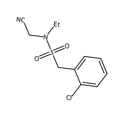 CCN(CC#N)S(=O)(=O)Cc1ccccc1Cl